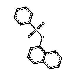 O=S(=O)(Oc1cccc2ccccc12)c1cc[c]cc1